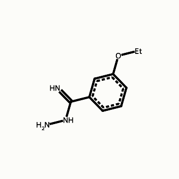 CCOc1cccc(C(=N)NN)c1